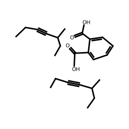 CCC#CC(C)CC.CCC#CC(C)CC.O=C(O)c1ccccc1C(=O)O